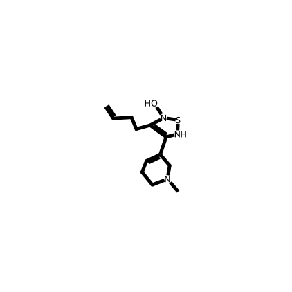 C=CCCC1=C(C2=CCCN(C)C2)NSN1O